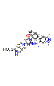 Cc1nn(C)c2ccc(-c3ccc([C@@H](Oc4cc(N5CCC6(CC5)CNC(C(=O)O)C6)nc(N)n4)C(F)(F)F)cc3)cc12